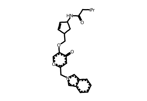 CC(C)CC(=O)NC1C=CC(COc2coc(Cn3cc4ccccc4c3)cc2=O)C1